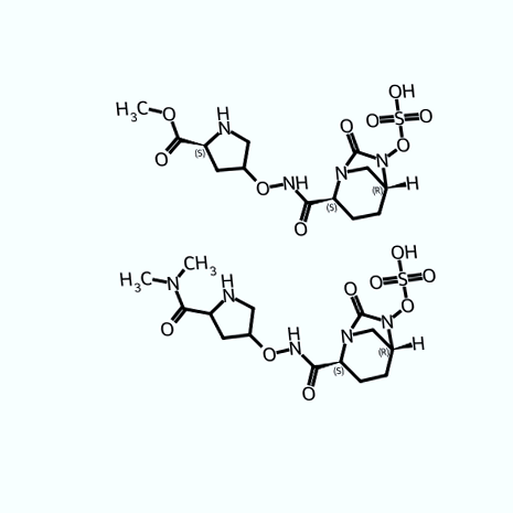 CN(C)C(=O)C1CC(ONC(=O)[C@@H]2CC[C@@H]3CN2C(=O)N3OS(=O)(=O)O)CN1.COC(=O)[C@@H]1CC(ONC(=O)[C@@H]2CC[C@@H]3CN2C(=O)N3OS(=O)(=O)O)CN1